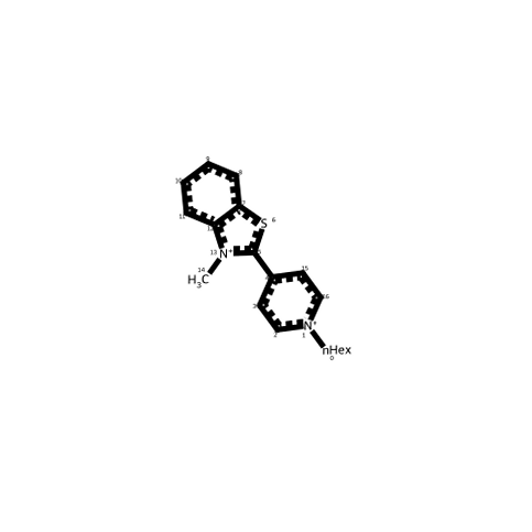 CCCCCC[n+]1ccc(-c2sc3ccccc3[n+]2C)cc1